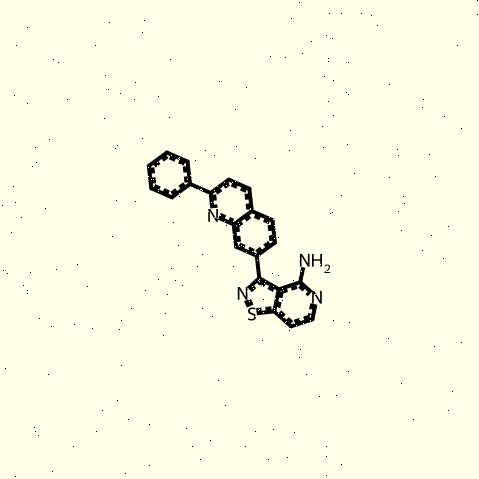 Nc1nccc2snc(-c3ccc4ccc(-c5ccccc5)nc4c3)c12